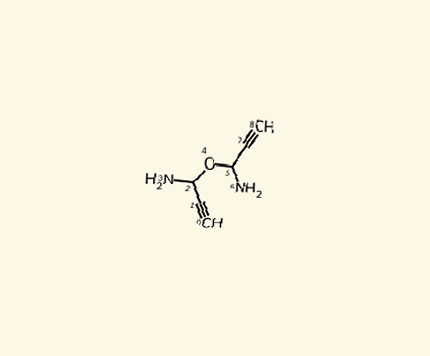 C#CC(N)OC(N)C#C